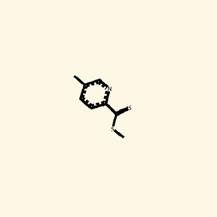 CSC(=S)c1ccc(C)cn1